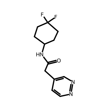 O=C(Cc1ccnnc1)NC1CCC(F)(F)CC1